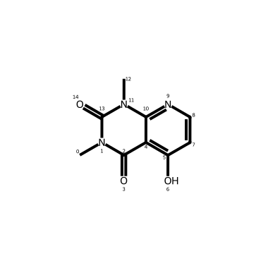 Cn1c(=O)c2c(O)ccnc2n(C)c1=O